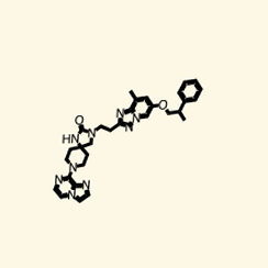 Cc1cc(OCC(C)c2ccccc2)cn2nc(CCN3CC4(CCN(c5nccn6ccnc56)CC4)NC3=O)nc12